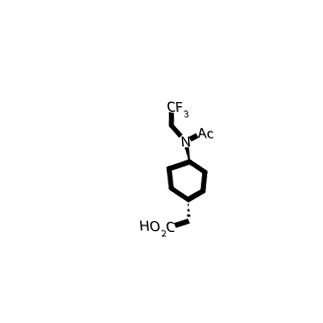 CC(=O)N(CC(F)(F)F)[C@H]1CC[C@H](CC(=O)O)CC1